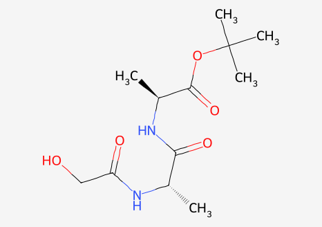 C[C@H](NC(=O)CO)C(=O)N[C@@H](C)C(=O)OC(C)(C)C